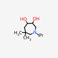 CC(C)N1CC(O)C(O)CC(C)(C)C1